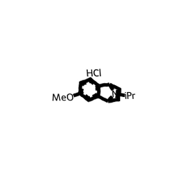 COc1ccc2c(c1)C1C=CC2N1C(C)C.Cl